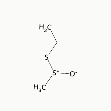 CCS[S+](C)[O-]